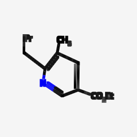 CCOC(=O)c1cnc(CC(C)C)c(C)c1